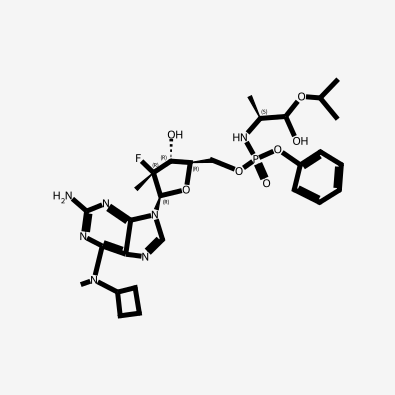 CC(C)OC(O)[C@H](C)NP(=O)(OC[C@H]1O[C@@H](n2cnc3c(N(C)C4CCC4)nc(N)nc32)[C@](C)(F)[C@@H]1O)Oc1ccccc1